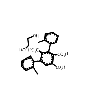 Cc1ccccc1-c1cc(C(=O)O)c(C(=O)O)c(-c2ccccc2C)c1C(=O)O.OCCO